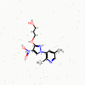 Cc1cnc(C)c(-n2cc([N+](=O)[O-])c(OCCCO)n2)c1